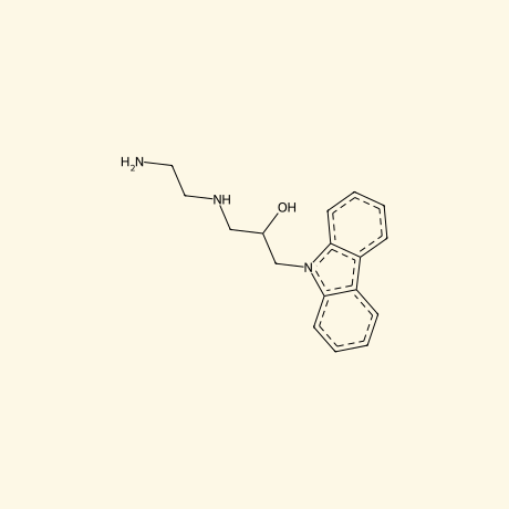 NCCNCC(O)Cn1c2ccccc2c2ccccc21